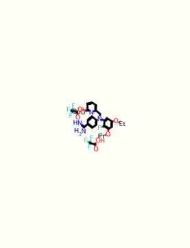 CCOc1cc(OC(C)C)c(F)c(N(Cc2cccc(OCC(C)C)n2)c2ccc(C(=N)N)cc2)c1.O=C(O)C(F)(F)F.O=C(O)C(F)(F)F